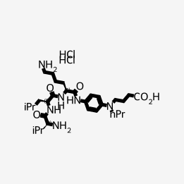 CCCN(CCCC(=O)O)c1ccc(NC(=O)[C@H](CCCCN)NC(=O)[C@H](CC(C)C)NC(=O)[C@H](N)C(C)C)cc1.Cl.Cl